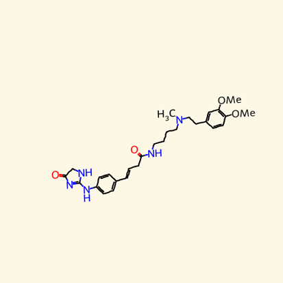 COc1ccc(CCN(C)CCCCNC(=O)C/C=C/c2ccc(NC3=NC(=O)CN3)cc2)cc1OC